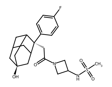 CS(=O)(=O)NC1CN(C(=O)C[C@]2(c3ccc(F)cc3)C3CC4CC2C[C@@](O)(C4)C3)C1